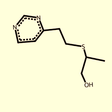 CC(CO)SCCc1ccncn1